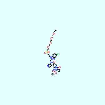 C#CCOCCOCCOCCOCCS(=O)(=O)CCCn1c(CN2C(=O)C3(CCN(C(=O)C4(NC(=O)OC(C)(C)C)CCC4)CC3)c3ccncc32)nc2cc(Cl)ccc21